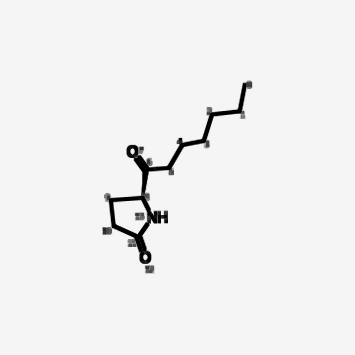 CCCCCCC(=O)[C@@H]1CCC(=O)N1